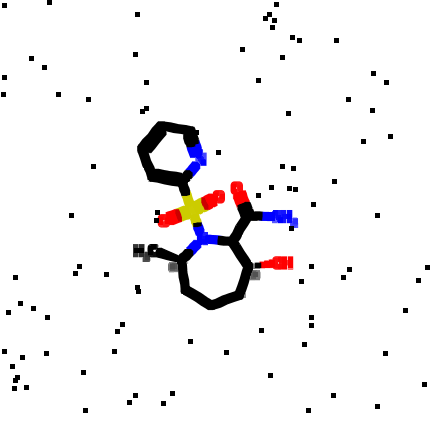 C[C@@H]1CC[CH][C@@H](O)C(C(N)=O)N1S(=O)(=O)c1ccccn1